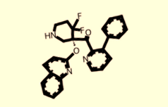 O=C(c1ncccc1-c1ccccc1)[C@@]1(Oc2ccc3ccccc3n2)CNCCC1(F)F